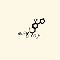 CC(C)(C)OC(=O)N[C@@H](Cc1ccc(O)c(C2CCCC2)c1)C(=O)O